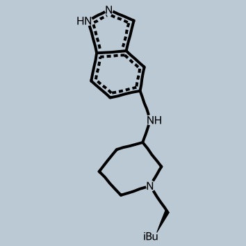 CC[C@H](C)CN1CCCC(Nc2ccc3[nH]ncc3c2)C1